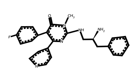 Cn1c(NC[C@@H](N)Cc2ccccc2)nc(-c2ccncc2)c(-c2ccc(F)cc2)c1=O